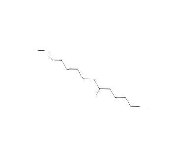 CCCCCC(O)CCCCCCOO